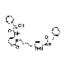 O=C(Cc1ccccc1)Nc1ccc(CCCCn2c(NC(=O)[C@@H](O)c3ccccc3)ccnc2=O)nn1